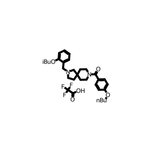 CCCCOc1ccc(C(=O)N2CCC3(CCN(Cc4ccccc4OCC(C)C)C3)CC2)cc1.O=C(O)C(F)(F)F